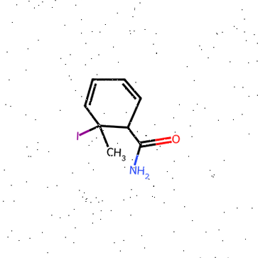 CC1(I)C=CC=CC1C(N)=O